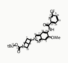 COc1cc2nn([C@@H]3CC4C3CN4C(=O)OC(C)(C)C)cc2cc1NC(=O)c1cccc(C(F)(F)F)n1